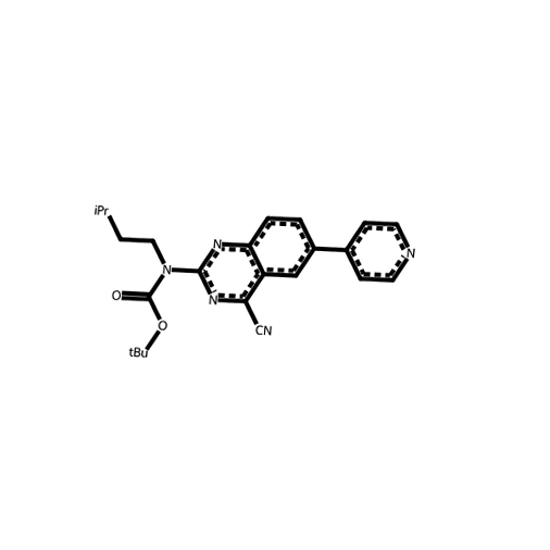 CC(C)CCN(C(=O)OC(C)(C)C)c1nc(C#N)c2cc(-c3ccncc3)ccc2n1